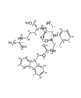 CC(C)C[C@H](NC(=O)[C@H](Cc1ccccc1)NC(=O)OCC1c2ccccc2-c2ccccc21)C(=O)N[C@@H](CCCNC(=N)N)C(=O)O